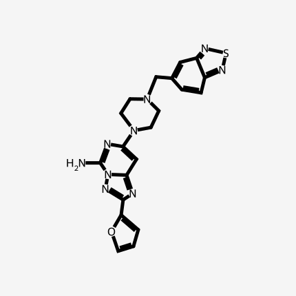 Nc1nc(N2CCN(Cc3ccc4nsnc4c3)CC2)cc2nc(-c3ccco3)nn12